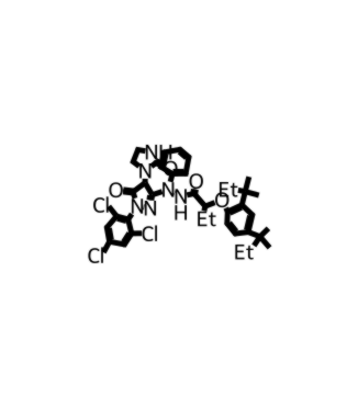 CCC(Oc1ccc(C(C)(C)CC)cc1C(C)(C)CC)C(=O)NN(C1=NN(c2c(Cl)cc(Cl)cc2Cl)C(=O)C1N1CCNC1=O)c1ccccc1